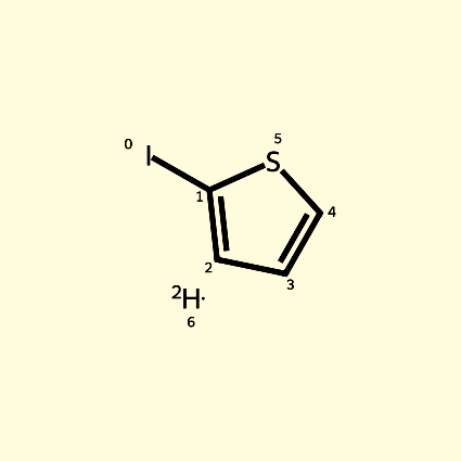 Ic1cccs1.[2H]